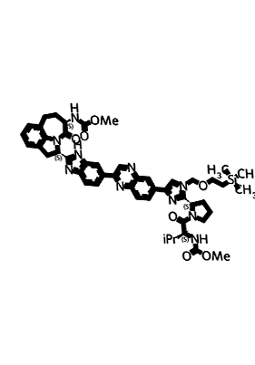 COC(=O)N[C@H]1CCc2cccc3c2N(C1=O)[C@H](c1nc2ccc(-c4cnc5cc(-c6cn(COCC[Si](C)(C)C)c([C@@H]7CCCN7C(=O)[C@@H](NC(=O)OC)C(C)C)n6)ccc5n4)cc2[nH]1)C3